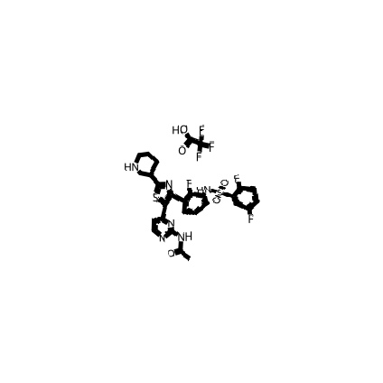 CC(=O)Nc1nccc(-c2sc(C3CCCNC3)nc2-c2cccc(NS(=O)(=O)c3cc(F)ccc3F)c2F)n1.O=C(O)C(F)(F)F